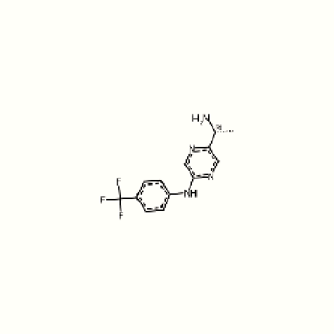 C[C@@H](N)c1cnc(Nc2ccc(C(F)(F)F)cc2)cn1